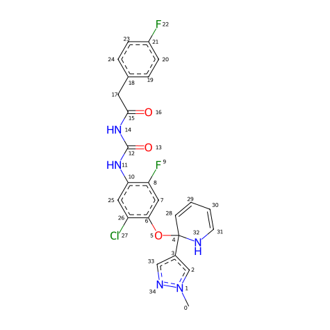 Cn1cc(C2(Oc3cc(F)c(NC(=O)NC(=O)Cc4ccc(F)cc4)cc3Cl)C=CC=CN2)cn1